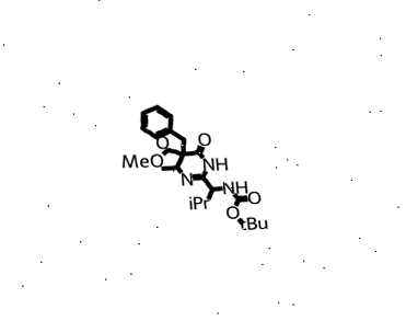 COC(=O)C1(Cc2ccccc2)C(=O)NC(C(NC(=O)OC(C)(C)C)C(C)C)=NC1C